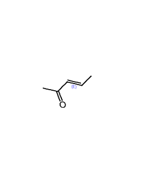 C/C=C/C(C)=O